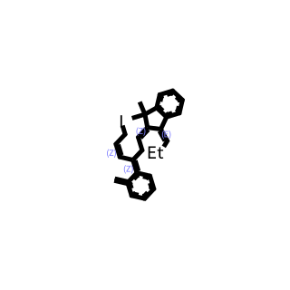 C=c1cccc/c1=C(/C=C\CI)C/C=C1\C(=C/CC)c2ccccc2C1(C)C